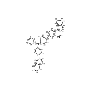 c1ccc(N(c2ccc(-c3ccc4ccccc4c3)cc2)c2ccc(-c3ccc4c(c3)ncc3oc5ccccc5c34)cc2)cc1